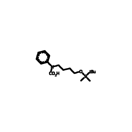 CC(C)(C)[Si](C)(C)OCCCCN(C(=O)O)c1ccccc1